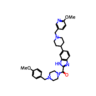 COc1ccc(CN2CCN(C(=O)c3nc4ccc(C5CCN(Cc6ccc(OC)nc6)CC5)cc4[nH]3)CC2)cc1